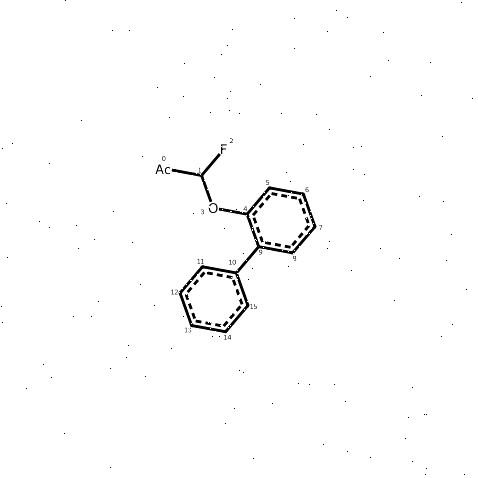 CC(=O)C(F)Oc1ccccc1-c1ccccc1